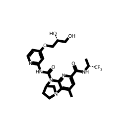 Cc1cc(C(=O)N[C@H](C)C(F)(F)F)nc2c1N1CCC(C1)N2C(=O)Nc1cc(OC[C@H](O)CO)ccn1